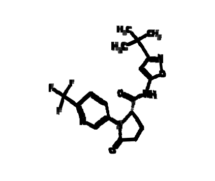 CC(C)(C)c1cc(NC(=O)[C@@H]2CCC(=O)N2c2ccc(C(F)(F)F)nc2)on1